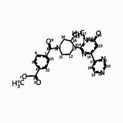 COC(=O)c1ccc(C(=O)N2CCN(c3nc(-c4ccncn4)cc(=O)n3C)[C@H](C)C2)cc1